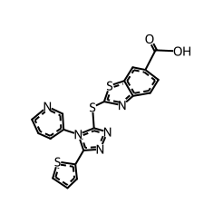 O=C(O)c1ccc2nc(Sc3nnc(-c4cccs4)n3-c3cccnc3)sc2c1